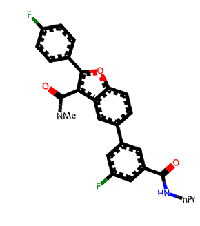 CCCNC(=O)c1cc(F)cc(-c2ccc3oc(-c4ccc(F)cc4)c(C(=O)NC)c3c2)c1